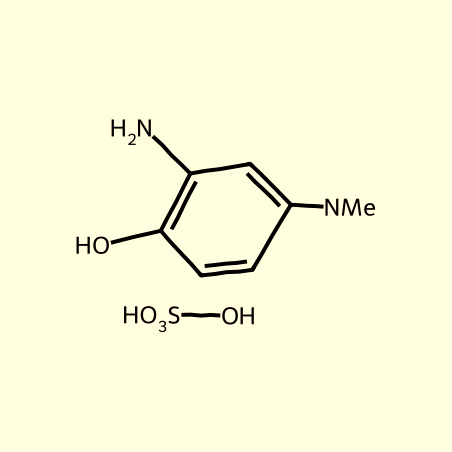 CNc1ccc(O)c(N)c1.O=S(=O)(O)O